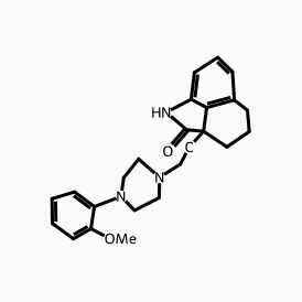 COc1ccccc1N1CCN(CCC23CCCc4cccc(c42)NC3=O)CC1